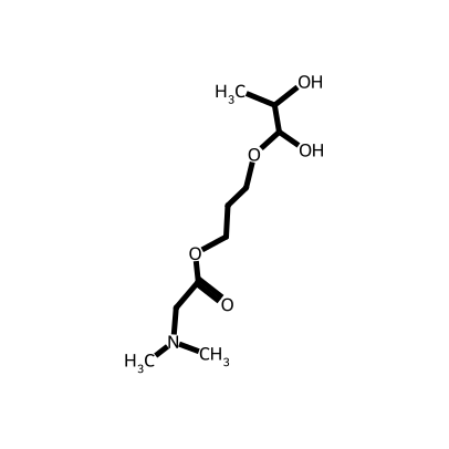 CC(O)C(O)OCCCOC(=O)CN(C)C